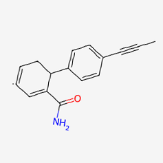 CC#Cc1ccc(C2CC=[C]C=C2C(N)=O)cc1